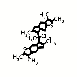 CC1=C(C(C)(C)C2=C(C)C=C3C=C4C(C)=C(C)SC4C=C32)C2=CC3SC(C)=C(C)C3=CC2=C1